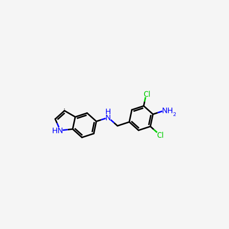 Nc1c(Cl)cc(CNc2ccc3[nH]c[c]c3c2)cc1Cl